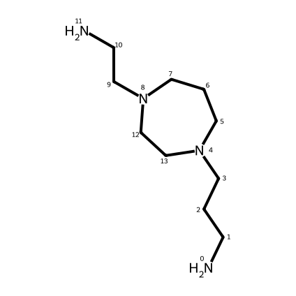 NCCCN1CCCN(CCN)CC1